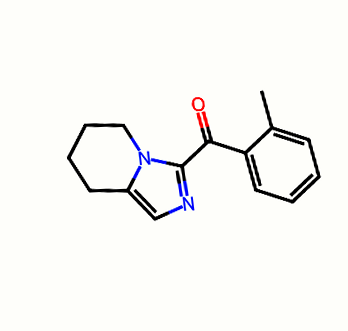 Cc1ccccc1C(=O)c1ncc2n1CCCC2